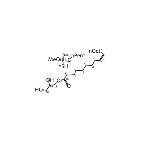 CCCCCCCC/C=C\CCCCCCCC(=O)OCC(O)CO.CCCCCOP(=S)(S)OC